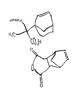 CCCCCCC(C)(C(=O)O)C12C=CC(CC1)C2.O=C1OC(=O)C2C3C=CC(C3)C12